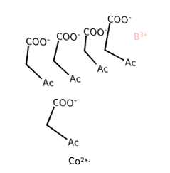 CC(=O)CC(=O)[O-].CC(=O)CC(=O)[O-].CC(=O)CC(=O)[O-].CC(=O)CC(=O)[O-].CC(=O)CC(=O)[O-].[B+3].[Co+2]